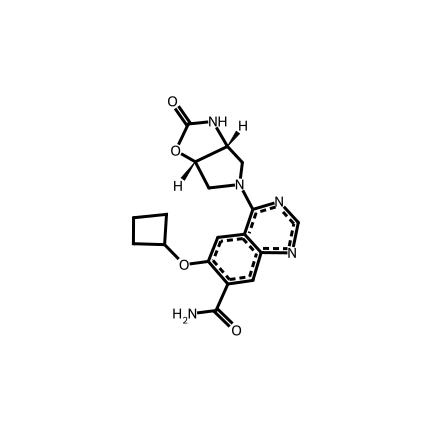 NC(=O)c1cc2ncnc(N3C[C@@H]4OC(=O)N[C@@H]4C3)c2cc1OC1CCC1